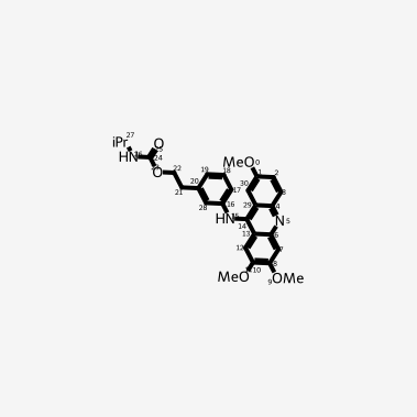 COc1ccc2nc3cc(OC)c(OC)cc3c(Nc3cccc(CCOC(=O)NC(C)C)c3)c2c1